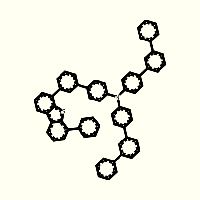 c1ccc(-c2cccc(-c3ccc(N(c4ccc(-c5cccc(-c6ccccc6)c5)cc4)c4ccc(-c5cccc(-c6cccc7c6sc6c(-c8ccccc8)cccc67)c5)cc4)cc3)c2)cc1